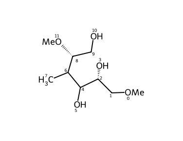 COC[C@@H](O)C(O)C(C)[C@@H](CO)OC